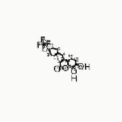 O=c1cc(Cc2ccc(OC(F)(F)F)cc2)c2ccc(O)c(O)c2o1